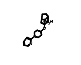 O=C(O)N1C2CCC1CC(OC1CCN(c3ccccn3)CC1)C2